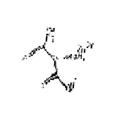 CC(=O)OC(=O)O.[MgH2].[Zn].[Zn]